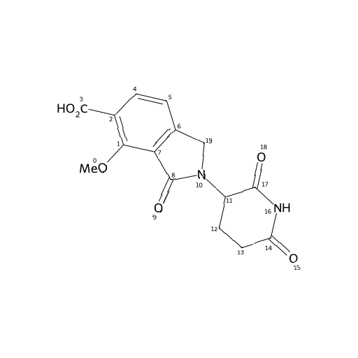 COc1c(C(=O)O)ccc2c1C(=O)N(C1CCC(=O)NC1=O)C2